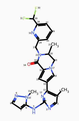 Cc1cnc(Nc2ccnn2C)nc1-c1cc2n(c1)CC(C)N(Cc1cccc(C(F)F)n1)C2=O